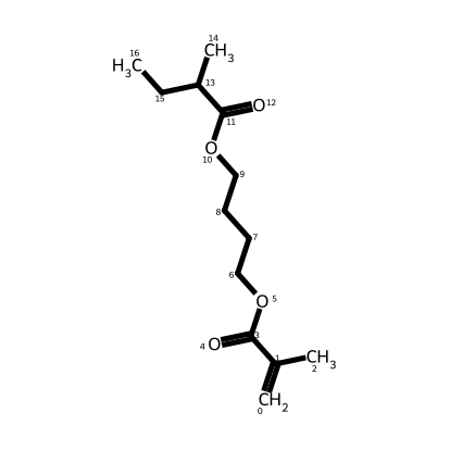 C=C(C)C(=O)OCCCCOC(=O)C(C)CC